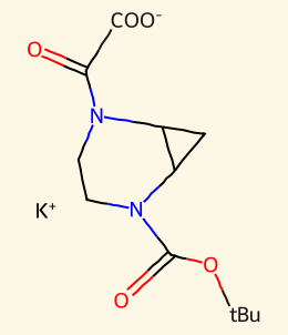 CC(C)(C)OC(=O)N1CCN(C(=O)C(=O)[O-])C2CC21.[K+]